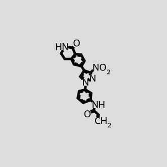 C=CC(=O)Nc1cccc(-n2cc(-c3ccc4c(c3)CCNC4=O)c([N+](=O)[O-])n2)c1